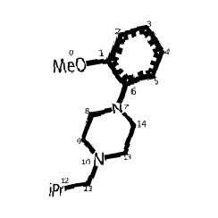 COc1ccccc1N1CCN(CC(C)C)CC1